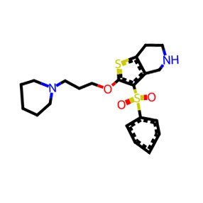 O=S(=O)(c1ccccc1)c1c(OCCCN2CCCCC2)sc2c1CNCC2